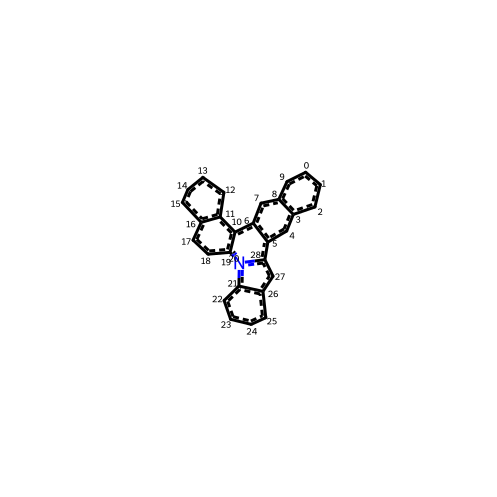 c1ccc2cc3c(cc2c1)c1c2ccccc2ccc1n1c2ccccc2cc31